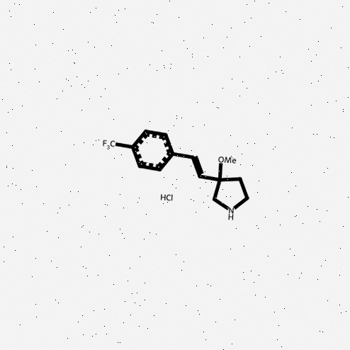 COC1(/C=C/c2ccc(C(F)(F)F)cc2)CCNC1.Cl